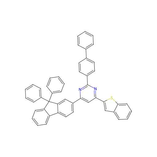 c1ccc(-c2ccc(-c3nc(-c4ccc5c(c4)C(c4ccccc4)(c4ccccc4)c4ccccc4-5)cc(-c4cc5ccccc5s4)n3)cc2)cc1